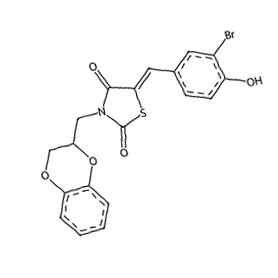 O=C1SC(=Cc2ccc(O)c(Br)c2)C(=O)N1CC1COc2ccccc2O1